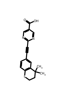 CC1(C)CCSc2ccc(C#Cc3ncc(C(=O)O)cn3)cc21